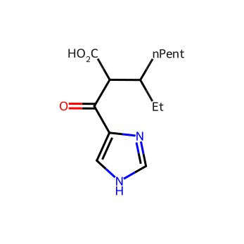 CCCCCC(CC)C(C(=O)O)C(=O)c1c[nH]cn1